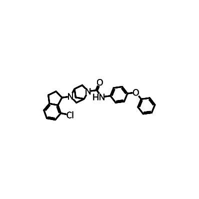 O=C(Nc1ccc(Oc2ccccc2)cc1)N1CC2CC1CN2C1CCc2cccc(Cl)c21